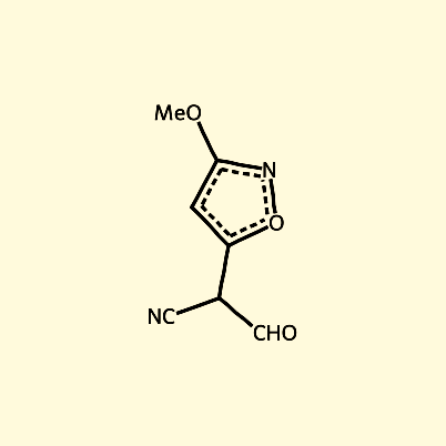 COc1cc(C(C#N)C=O)on1